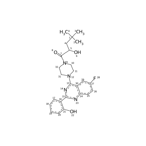 CC(C)(C)CC(O)C(=O)N1CCN(c2nc(-c3ccccc3O)nc3ccc(F)cc23)CC1